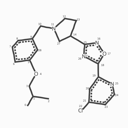 CC(C)COc1cccc(CN2CCC(c3noc(-c4cc(Cl)ccn4)n3)C2)c1